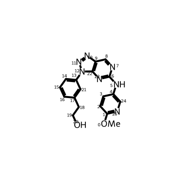 COc1ccc(Nc2ncc3nnn(-c4cccc(CCO)c4)c3n2)cn1